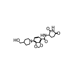 O=C1CCC(NC(=O)c2ccc(N3CCC(CO)CC3)c3c2OCO3)C(=O)N1